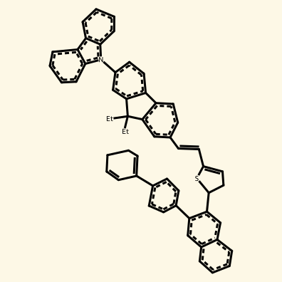 CCC1(CC)c2cc(/C=C/C3=CCC(c4cc5ccccc5cc4-c4ccc(C5=CCCC=C5)cc4)S3)ccc2-c2ccc(-n3c4ccccc4c4ccccc43)cc21